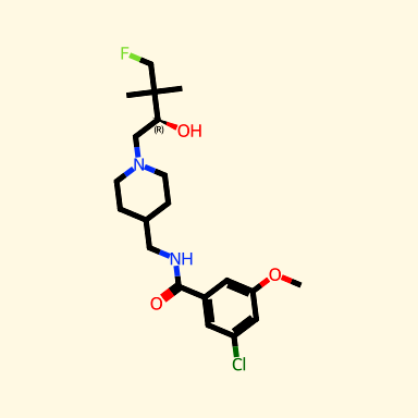 COc1cc(Cl)cc(C(=O)NCC2CCN(C[C@H](O)C(C)(C)CF)CC2)c1